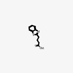 OC(=S)CCCc1nc2ccccc2s1